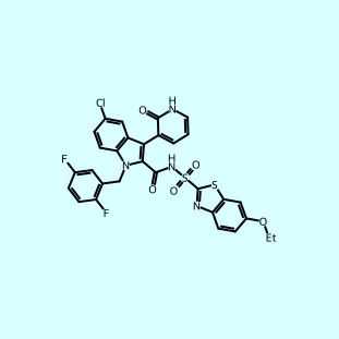 CCOc1ccc2nc(S(=O)(=O)NC(=O)c3c(-c4ccc[nH]c4=O)c4cc(Cl)ccc4n3Cc3cc(F)ccc3F)sc2c1